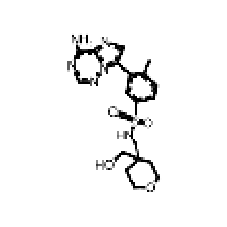 Cc1ccc(S(=O)(=O)NCC2(CO)CCOCC2)cc1-c1cnc2c(N)ncnn12